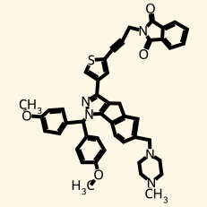 COc1ccc(C(c2ccc(OC)cc2)n2nc(-c3csc(C#CCN4C(=O)c5ccccc5C4=O)c3)c3c2-c2ccc(CN4CCN(C)CC4)cc2C3)cc1